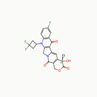 CC[C@@]1(O)C(=O)OCc2c1cc1n(c2=O)Cc2c-1c(=O)c1cc(F)ccc1n2C1CC(F)(F)C1